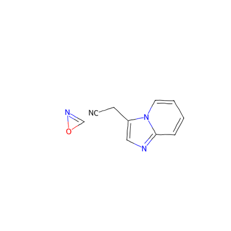 C1=NO1.N#CCc1cnc2ccccn12